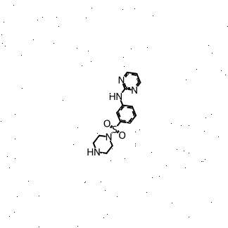 O=S(=O)(c1cccc(Nc2ncccn2)c1)N1CCNCC1